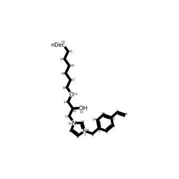 C=Cc1ccc(C[n+]2ccn(CC(O)COCCCCCCCCCCCCCCCC)c2)cc1